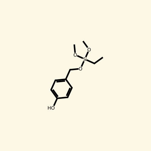 CC[Si](OC)(OC)OCc1ccc(O)cc1